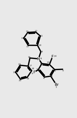 Cc1c(Br)cc(F)c(N(Cc2ccccc2)Cc2ccccc2)c1F